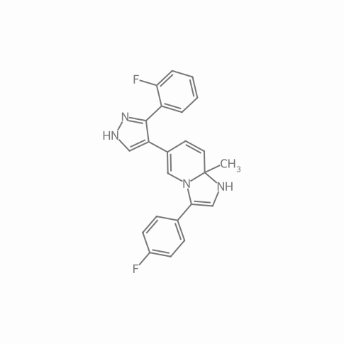 CC12C=CC(c3c[nH]nc3-c3ccccc3F)=CN1C(c1ccc(F)cc1)=CN2